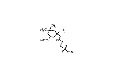 COC(F)(F)CONCC1(C)CC(OC#N)CC(C)(C)C1